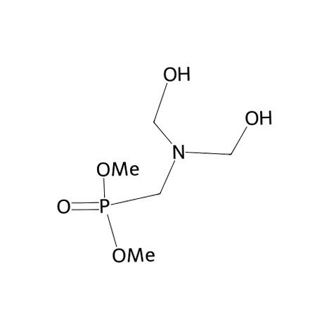 COP(=O)(CN(CO)CO)OC